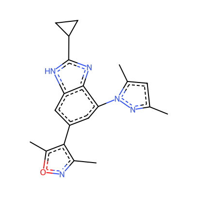 Cc1cc(C)n(-c2cc(-c3c(C)noc3C)cc3[nH]c(C4CC4)nc23)n1